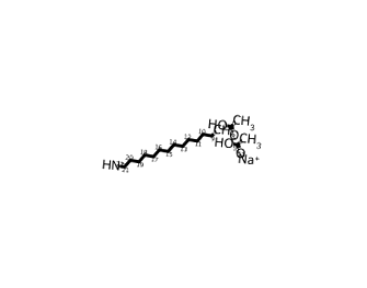 CC(=O)O.CC(=O)O.CCCCCCCCCCCCCC[NH-].[Na+]